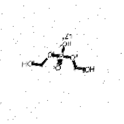 O=P(O)(OCO)OCO.[Zn]